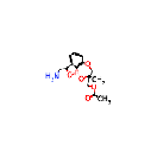 CC(=O)OCC1(C)COc2cccc3c2B(OC3CN)O1